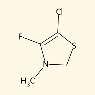 CN1CSC(Cl)=C1F